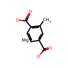 Cc1cc(C(=O)[O-])ccc1C(=O)[O-].[Mg+2]